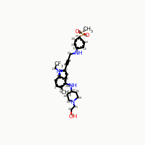 Cc1ccc2c(cc(C#CCNc3ccc(S(C)(=O)=O)cc3)n2CC(F)(F)F)c1NC1CCN(CCO)CC1